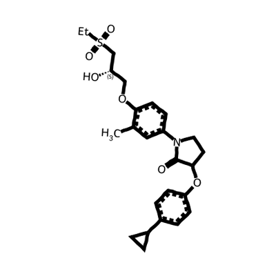 CCS(=O)(=O)C[C@@H](O)COc1ccc(N2CCC(Oc3ccc(C4CC4)cc3)C2=O)cc1C